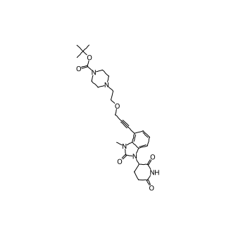 Cn1c(=O)n(C2CCC(=O)NC2=O)c2cccc(C#CCOCCN3CCN(C(=O)OC(C)(C)C)CC3)c21